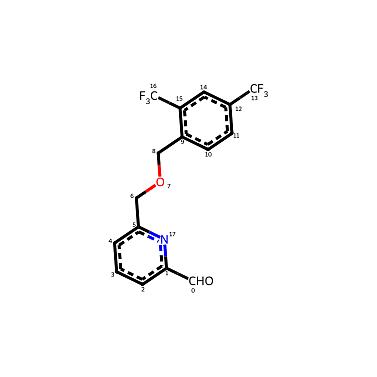 O=Cc1cccc(COCc2ccc(C(F)(F)F)cc2C(F)(F)F)n1